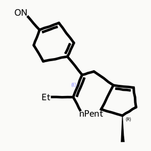 CCCCC/C(CC)=C(\CC1=CC[C@@H](C)C1)C1=CC=C(N=O)CC1